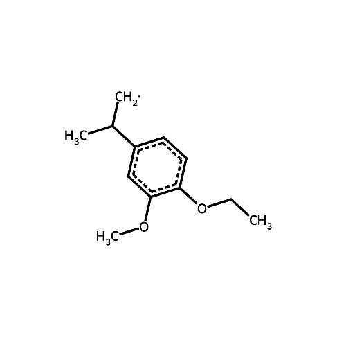 [CH2]C(C)c1ccc(OCC)c(OC)c1